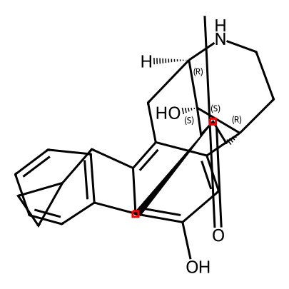 O=C1C[C@]23CCN[C@H](Cc4c(CC5CC5)cc(O)cc42)[C@]3(O)C[C@@H]1Cc1ccccc1